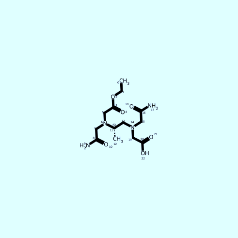 CCOC(=O)CN(CC(N)=O)[C@@H](C)CN(CC(N)=O)CC(=O)O